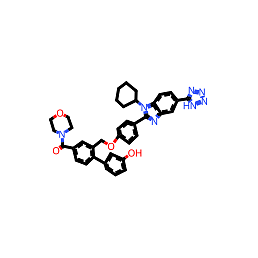 O=C(c1ccc(-c2cccc(O)c2)c(COc2ccc(-c3nc4cc(-c5nnn[nH]5)ccc4n3C3CCCCC3)cc2)c1)N1CCOCC1